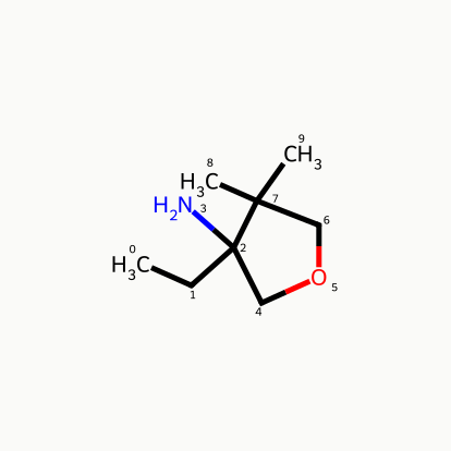 CCC1(N)COCC1(C)C